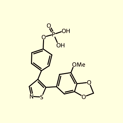 COc1cc(-c2sncc2-c2ccc(OP(=O)(O)O)cc2)cc2c1OCO2